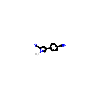 Cn1cc(-c2ccc(C#N)cc2)cc1C#N